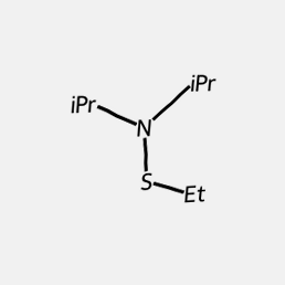 CCSN(C(C)C)C(C)C